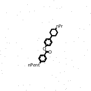 CCCCCc1ccc(C(=O)Oc2ccc(C3CCC(CCC)CC3)cc2)cc1